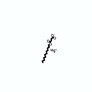 CCCCCCCCCCC=COC(=O)CCC(=O)[O-].[Hg+]